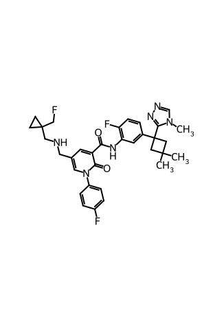 Cn1cnnc1C1(c2ccc(F)c(NC(=O)c3cc(CNCC4(CF)CC4)cn(-c4ccc(F)cc4)c3=O)c2)CC(C)(C)C1